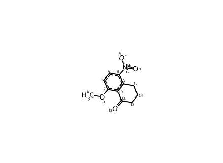 COc1ccc([N+](=O)[O-])c2c1C(=O)CCC2